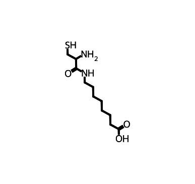 NC(CS)C(=O)NCCCCCCCC(=O)O